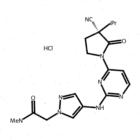 CNC(=O)Cn1cc(Nc2nccc(N3CC[C@@](C#N)(C(C)C)C3=O)n2)cn1.Cl